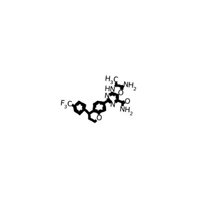 CC(Nc1cc(C(N)=O)nc(-c2ccc3c(c2)OCCC3c2ccc(C(F)(F)F)cc2)n1)C(N)=O